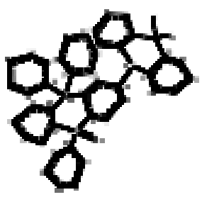 CC1(C)c2ccccc2N(c2ccc3c(c2)[Si](c2ccccc2)(c2ccccc2)c2ccccc2P3(=S)c2ccccc2)c2ccccc21